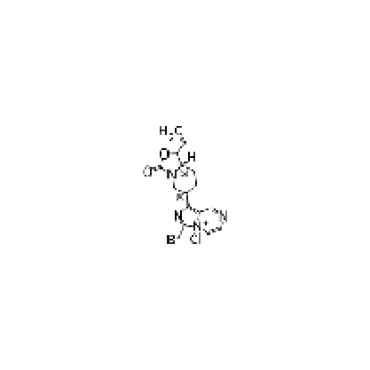 C=CC1OC(=O)N2C[C@H](C3=C4C=NC=C[N+]4(Cl)C(Br)=N3)CC[C@@H]12